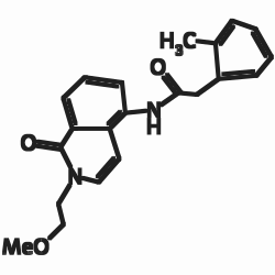 COCCn1ccc2c(NC(=O)Cc3ccccc3C)cccc2c1=O